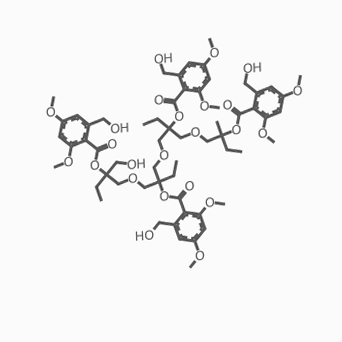 CCC(C)(COCC(CC)(COCC(CC)(COCC(CC)(CO)OC(=O)c1c(CO)cc(OC)cc1OC)OC(=O)c1c(CO)cc(OC)cc1OC)OC(=O)c1c(CO)cc(OC)cc1OC)OC(=O)c1c(CO)cc(OC)cc1OC